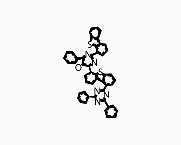 c1ccc(-c2nc(-c3ccccc3)nc(-c3cccc4sc5c(-c6nc(-c7cccc8c7sc7ccccc78)nc7c6oc6ccccc67)cccc5c34)n2)cc1